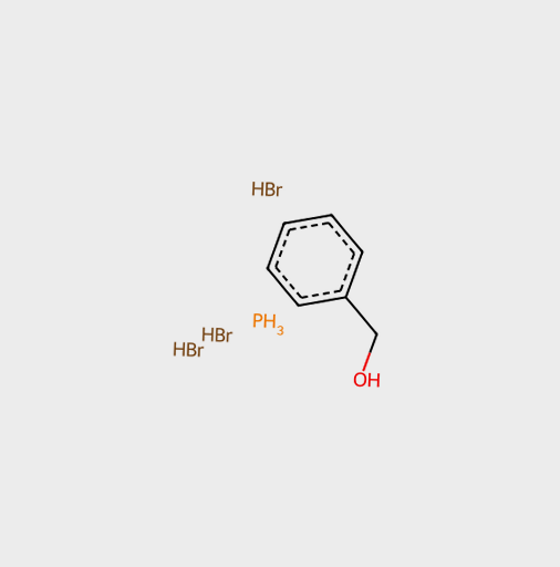 Br.Br.Br.OCc1ccccc1.P